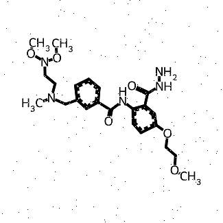 COCCOc1ccc(NC(=O)c2cccc(CN(C)CCN(OC)OC)c2)c(C(=O)NN)c1